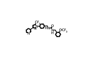 O=C(NCc1ccc(-n2nc(-c3cccnc3)cc2C(F)(F)F)cc1)NCc1ccccc1OC(F)(F)F